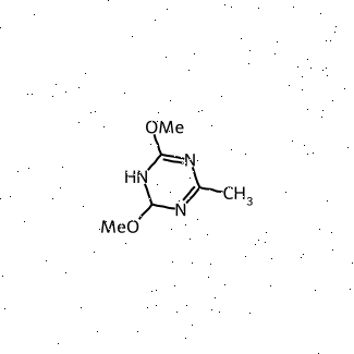 COC1=NC(C)=NC(OC)N1